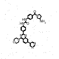 NC1CCN(C(=O)c2ccc(NC(=O)Nc3ccc(-c4nc(N5CCOCC5)c5ccc(-c6cncnc6)cc5n4)cc3)cc2)C1